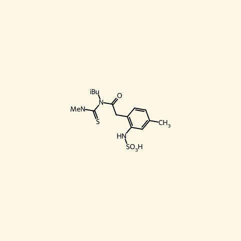 CCC(C)N(C(=O)Cc1ccc(C)cc1NS(=O)(=O)O)C(=S)NC